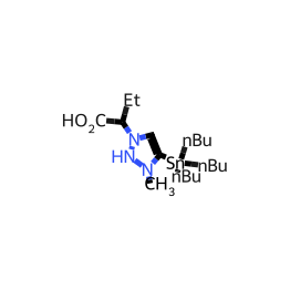 CCC[CH2][Sn]([CH2]CCC)([CH2]CCC)[C]1=CN(C(CC)C(=O)O)NN1C